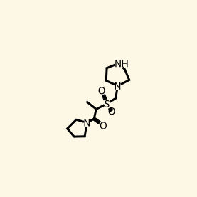 CC(C(=O)N1CCCC1)S(=O)(=O)CN1CCNCC1